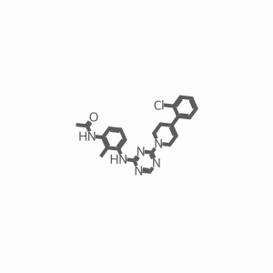 CC(=O)Nc1cccc(Nc2ncnc(N3CC=C(c4ccccc4Cl)CC3)n2)c1C